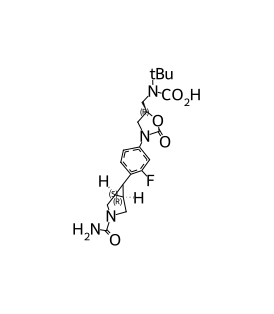 CC(C)(C)N(C[C@@H]1CN(c2ccc(C3[C@H]4CN(C(N)=O)C[C@@H]34)c(F)c2)C(=O)O1)C(=O)O